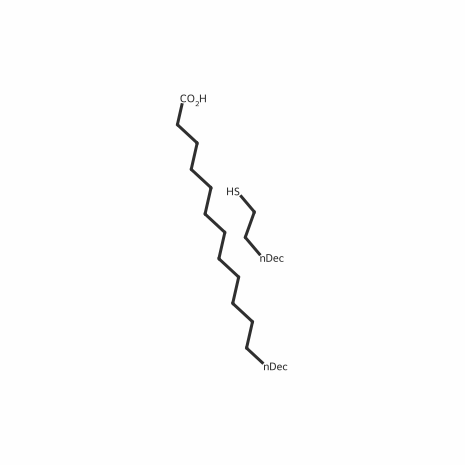 CCCCCCCCCCCCCCCCCCCCCC(=O)O.CCCCCCCCCCCCS